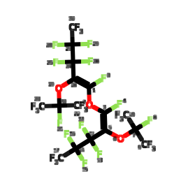 FC(OC(F)=C(OC(F)(C(F)(F)F)C(F)(F)F)C(F)(F)C(F)(F)C(F)(F)F)=C(OC(F)(C(F)(F)F)C(F)(F)F)C(F)(F)C(F)(F)C(F)(F)F